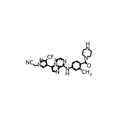 Cc1cc(Nc2nccn3c(-c4cn(CC#N)nc4C(F)(F)F)cnc23)ccc1C(=O)N1CCNCC1